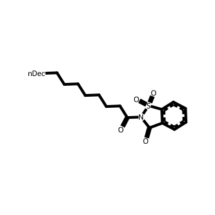 CCCCCCCCCCCCCCCCCC(=O)N1C(=O)c2ccccc2S1(=O)=O